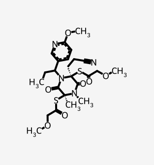 CCC(c1ccc(OC)nc1)N1C(=O)[C@](C)(SC(=O)COC)N(C)C(=O)[C@]1(CCC#N)SC(=O)COC